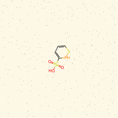 O=S(=O)(O)C1=CC=CSP1